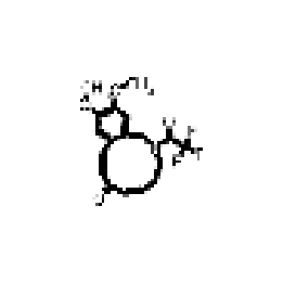 COc1cc2c(cc1OC)CN(C(=O)C(F)(F)F)CC/C=C\C(=O)/C=C\2